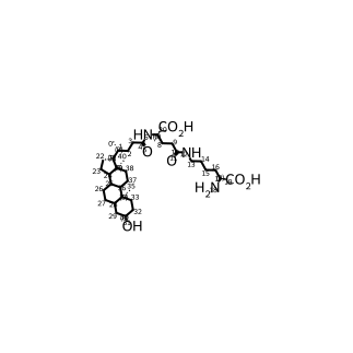 C[C@H](CCC(=O)N[C@@H](CCC(=O)NCCCC[C@H](N)C(=O)O)C(=O)O)[C@H]1CCC2C3CCC4C[C@H](O)CC[C@]4(C)C3CC[C@@]21C